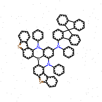 c1ccc(N(c2cc3c4c(c2)N(c2ccccc2)c2c(ccc5sc6ccccc6c25)B4c2ccc4sc5ccccc5c4c2N3c2ccccc2)c2cccc3c2-c2ccccc2C32c3ccccc3-c3ccccc32)cc1